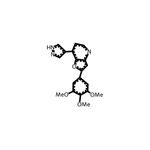 COc1cc(-c2cc3nccc(-c4cn[nH]c4)c3o2)cc(OC)c1OC